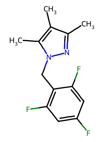 Cc1nn(Cc2c(F)cc(F)cc2F)c(C)c1C